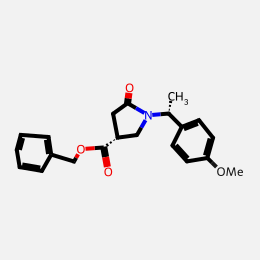 COc1ccc([C@@H](C)N2C[C@H](C(=O)OCc3ccccc3)CC2=O)cc1